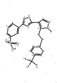 Cn1ncc(-c2nc(-c3cccc(S(=O)(=O)O)c3)no2)c1CCC1C=CC(C(F)(F)F)=CC1